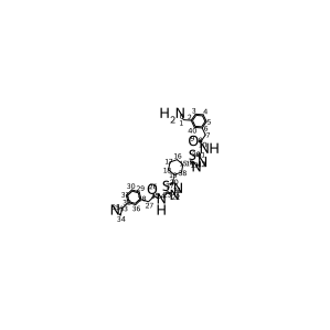 NCc1cccc(CC(=O)Nc2nnc([C@H]3CCC[C@H](c4nnc(NC(=O)Cc5cccc(C6C=N6)c5)s4)C3)s2)c1